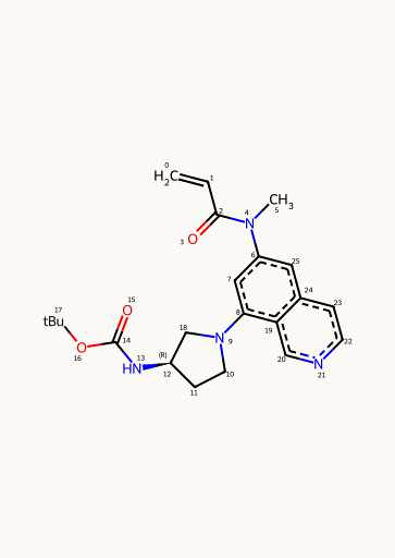 C=CC(=O)N(C)c1cc(N2CC[C@@H](NC(=O)OC(C)(C)C)C2)c2cnccc2c1